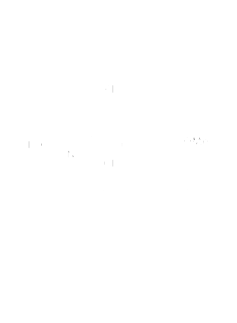 COc1cccc(C2(O)CCCCC2N(C)C(=O)CCl)c1